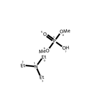 CCN(CC)CC.COP(=O)(O)OC